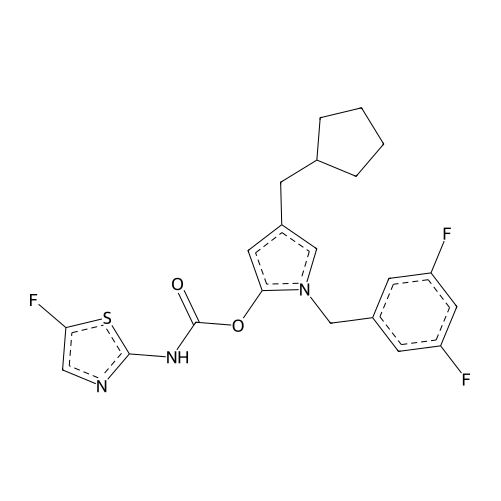 O=C(Nc1ncc(F)s1)Oc1cc(CC2CCCC2)cn1Cc1cc(F)cc(F)c1